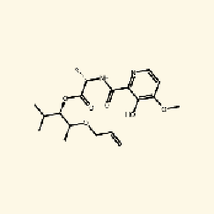 C=CCO[C@@H](C)[C@H](OC(=O)[C@H](C)NC(=O)c1nccc(OC)c1O)C(C)C